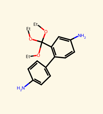 CCOC(OCC)(OCC)c1cc(N)ccc1-c1ccc(N)cc1